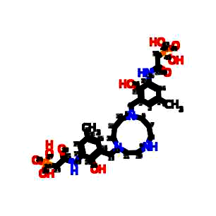 Cc1cc(CN2CCCNCCN(Cc3cc(C)cc(NC(=O)CP(=O)(O)O)c3O)CCC2)c(O)c(NC(=O)CP(=O)(O)O)c1